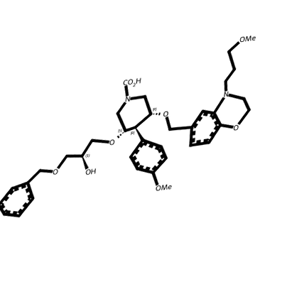 COCCCN1CCOc2ccc(CO[C@H]3CN(C(=O)O)C[C@@H](OC[C@@H](O)COCc4ccccc4)[C@@H]3c3ccc(OC)cc3)cc21